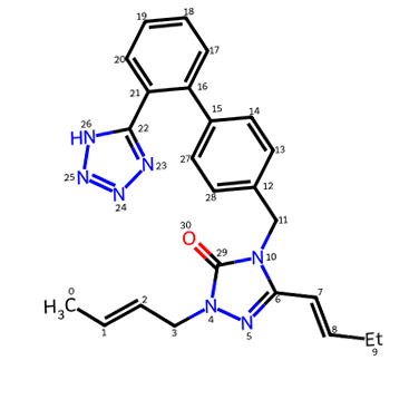 CC=CCn1nc(C=CCC)n(Cc2ccc(-c3ccccc3-c3nnn[nH]3)cc2)c1=O